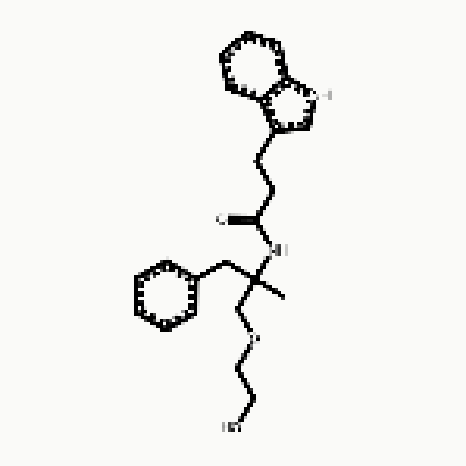 CC(COCCO)(Cc1ccccc1)NC(=O)[CH]Cc1c[nH]c2ccccc12